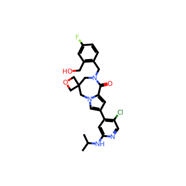 CC(C)Nc1cc(-c2cc3n(c2)CC2(COC2)CN(Cc2ccc(F)cc2CO)C3=O)c(Cl)cn1